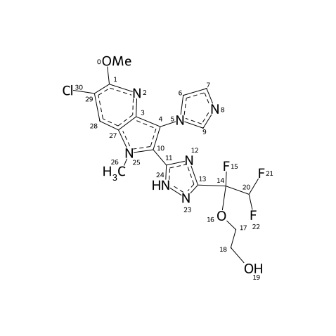 COc1nc2c(-n3ccnc3)c(-c3nc(C(F)(OCCO)C(F)F)n[nH]3)n(C)c2cc1Cl